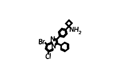 NC1(c2ccc(-c3nc4c(Br)cc(Cl)cn4c3C3C=CC=CC3)cc2)CCC1